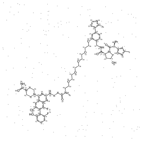 Cc1cc([C@@H](C(=O)N2C[C@H](O)C[C@H]2C(=O)NCc2ccc(-c3scnc3C)cc2OCCOCCOCCOCCOCCN(C)C(=O)CCNc2nc(N3CCN(C(N)=O)CC3)c3cc(Cl)c(-c4c(O)cccc4F)c(F)c3n2)C(C)C)on1